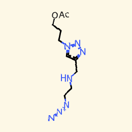 CC(=O)OCCCn1cc(CNCCN=[N+]=[N-])nn1